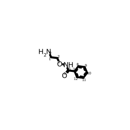 NCCONC(=O)c1ccccc1